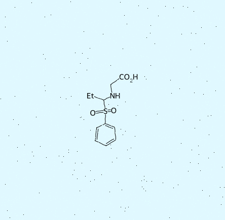 CCC(NCC(=O)O)S(=O)(=O)c1ccccc1